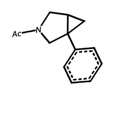 CC(=O)N1CC2CC2(c2ccccc2)C1